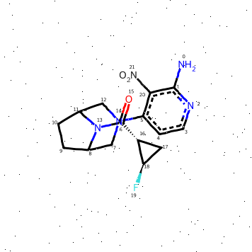 Nc1nccc(N2CC3CCC(C2)N3C(=O)[C@@H]2C[C@H]2F)c1[N+](=O)[O-]